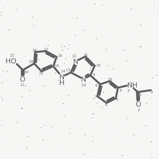 CC(=O)Nc1cccc(-c2ccnc(Nc3cccc(C(=O)O)c3)n2)c1